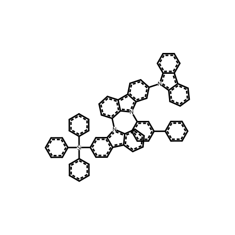 c1ccc(-c2cccc(-n3c4cc(-n5c6ccccc6c6ccccc65)ccc4c4cccc(-n5c6ccccc6c6ccc([Si](c7ccccc7)(c7ccccc7)c7ccccc7)cc65)c43)c2)cc1